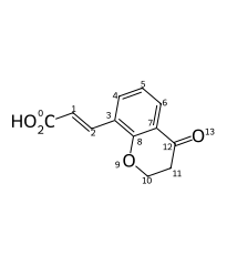 O=C(O)C=Cc1cccc2c1OCCC2=O